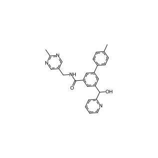 Cc1ccc(-c2cc(C(=O)NCc3cnc(C)nc3)cc(C(O)c3ccccn3)c2)cc1